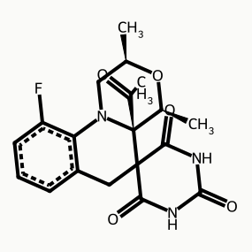 CC(=O)[C@]12[C@H](C)O[C@H](C)CN1c1c(F)cccc1CC21C(=O)NC(=O)NC1=O